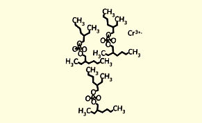 CCCCC(CC)COP(=O)([O-])OCC(CC)CCCC.CCCCC(CC)COP(=O)([O-])OCC(CC)CCCC.CCCCC(CC)COP(=O)([O-])OCC(CC)CCCC.[Cr+3]